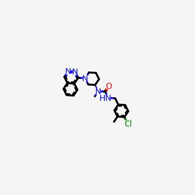 Cc1cc(CNC(=O)N(C)[C@@H]2CCCN(c3nncc4ccccc34)C2)ccc1Cl